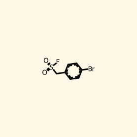 O=S(=O)(F)Cc1ccc(Br)cc1